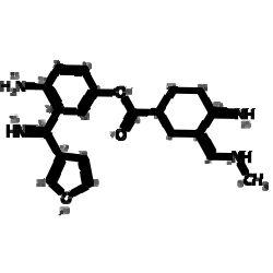 CN/C=C1/CC(C(=O)Oc2ccc(N)c(C(=N)c3ccoc3)c2)CCC1=N